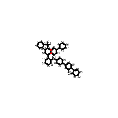 CC1(C)c2ccccc2-c2cc(-c3ccccc3N(c3ccc(-c4ccc5c(c4)sc4ccccc45)cc3)c3cccc(-c4ccccc4)c3)ccc21